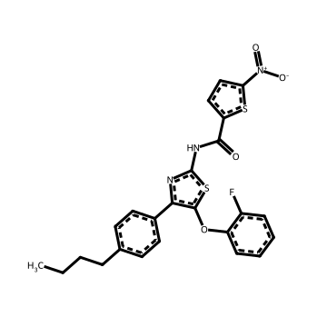 CCCCc1ccc(-c2nc(NC(=O)c3ccc([N+](=O)[O-])s3)sc2Oc2ccccc2F)cc1